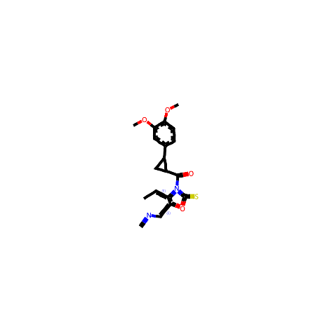 C=N/C=c1/oc(=S)n(C(=O)C2CC2c2ccc(OC)c(OC)c2)/c1=C/C